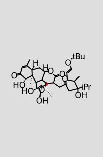 CC1=CC(=O)[C@@H](O)[C@]2(C)C3[C@]45CO[C@@]3(O)[C@H](O)[C@H](C)C4C(CC(=O)CC(O)(C(C)C)C(C)C/C=C/OC(C)(C)C)C(=O)O[C@@H]5C[C@@H]12